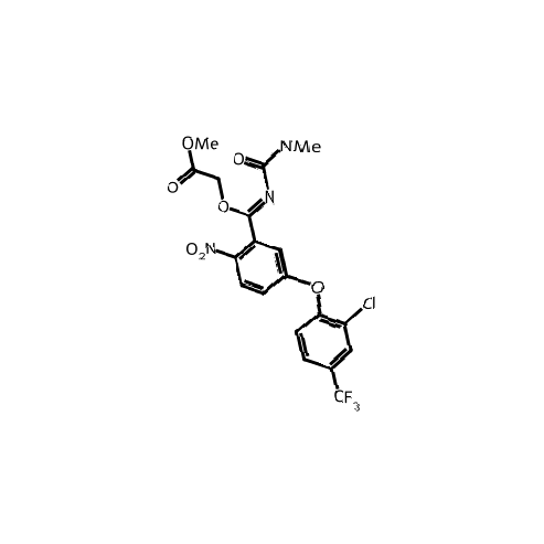 CNC(=O)N=C(OCC(=O)OC)c1cc(Oc2ccc(C(F)(F)F)cc2Cl)ccc1[N+](=O)[O-]